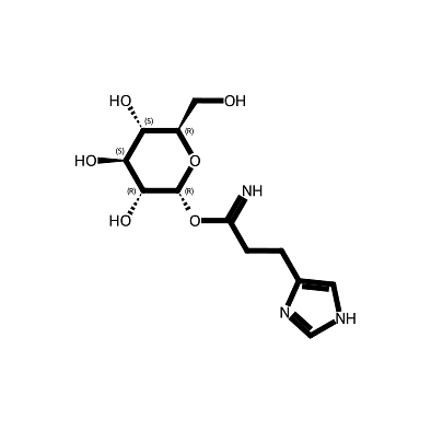 N=C(CCc1c[nH]cn1)O[C@H]1O[C@H](CO)[C@@H](O)[C@H](O)[C@H]1O